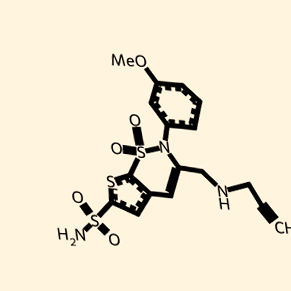 C#CCNCC1=Cc2cc(S(N)(=O)=O)sc2S(=O)(=O)N1c1cccc(OC)c1